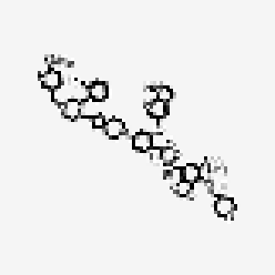 COc1ccc(CN2CCN(C3CC4(CCN(c5ccc(C(=O)NS(=O)(=O)c6cc([N+](=O)[O-])c(NCC7(F)CCOCC7)c7c6OCO7)c(Oc6cnc7[nH]ccc7c6)c5)CC4)C3)C(c3ccccc3C(C)C)C2)cn1